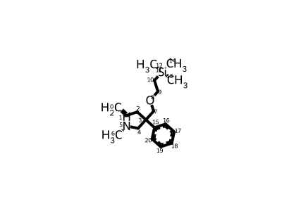 C=CCC(CNC)(COCC[Si](C)(C)C)c1ccccc1